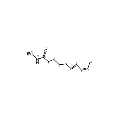 C/C=C\C=C\CCCCC(=O)NC(C)CC